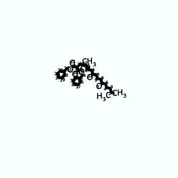 CC(C)CCCC(=O)CCCC(=O)CCCC(C)(C)CC(C(=O)OCc1ccccc1)C(=O)OCc1ccccc1